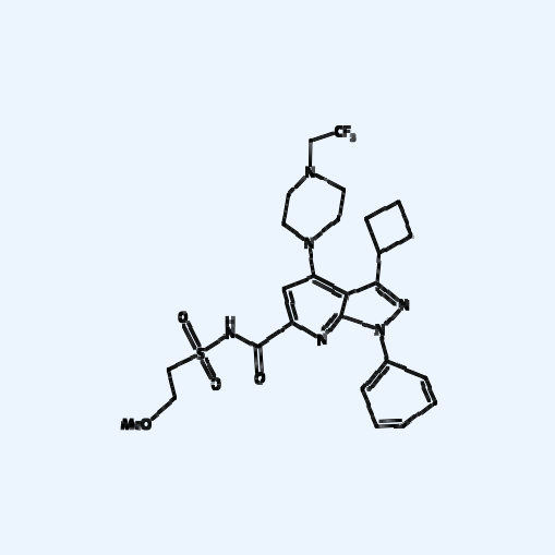 COCCS(=O)(=O)NC(=O)c1cc(N2CCN(CC(F)(F)F)CC2)c2c(C3CCC3)nn(-c3ccccc3)c2n1